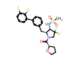 CS(=O)(=O)N[C@@H]1[C@H](Cc2cccc(-c3cccc(F)c3F)c2)N(C(=O)[C@H]2CCCO2)CC1(F)F